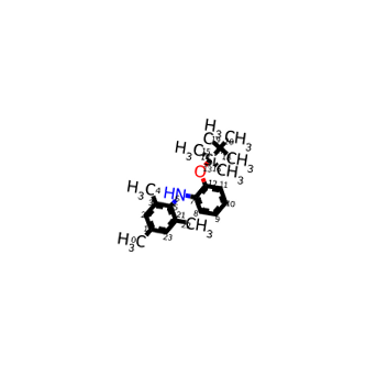 Cc1cc(C)c(Nc2ccccc2O[Si](C)(C)C(C)(C)C)c(C)c1